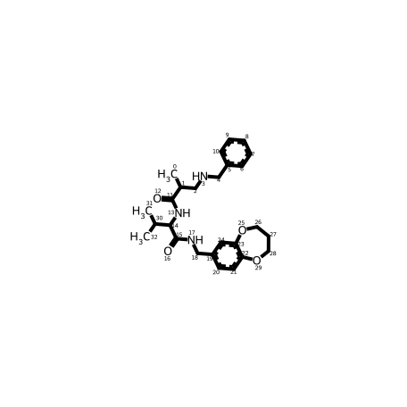 CC(CNCc1ccccc1)C(=O)NC(C(=O)NCc1ccc2c(c1)OCCCO2)C(C)C